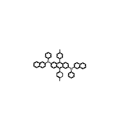 CC1=CC=C(c2c3cc(N(c4ccccc4)c4ccc5ccccc5c4)ccc3c(-c3ccc(C)cc3)c3cc(N(c4ccccc4)c4ccc5ccccc5c4)ccc23)CC1